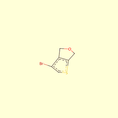 Brc1csc2c1COC2